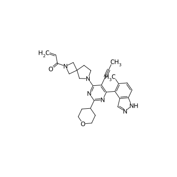 C=CC(=O)N1CC2(CCN(c3nc(C4CCOCC4)nc(-c4c(C)ccc5[nH]ncc45)c3C#CC)C2)C1